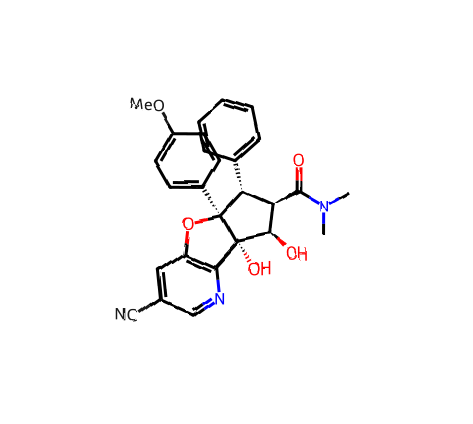 COc1ccc([C@@]23Oc4cc(C#N)cnc4[C@]2(O)[C@H](O)[C@H](C(=O)N(C)C)[C@H]3c2ccccc2)cc1